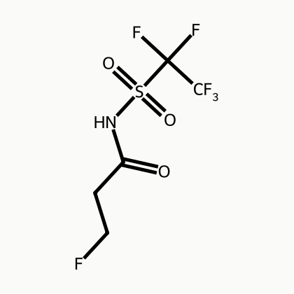 O=C(CCF)NS(=O)(=O)C(F)(F)C(F)(F)F